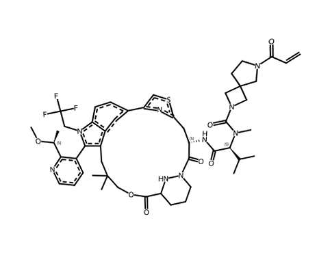 C=CC(=O)N1CCC2(C1)CN(C(=O)N(C)[C@H](C(=O)N[C@H]1Cc3nc(cs3)-c3ccc4c(c3)c(c(-c3cccnc3[C@H](C)OC)n4CC(F)(F)F)CC(C)(C)COC(=O)C3CCCN(N3)C1=O)C(C)C)C2